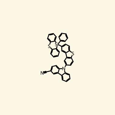 N#Cc1ccc2c(c1)c1ccccc1n2-c1ccc2sc3ccc([Si]4(c5ccccc5)c5ccccc5Sc5ccccc54)cc3c2c1